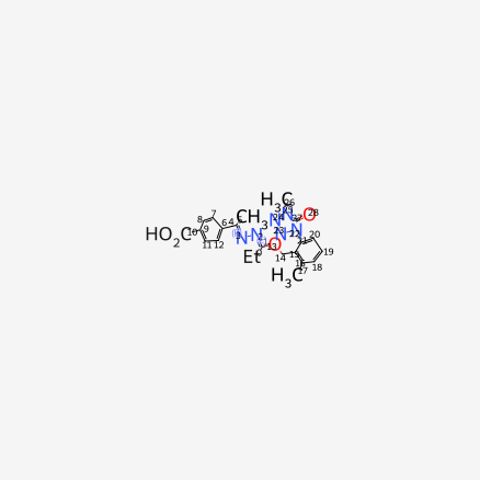 CC/C(=N\N=C(/C)c1ccc(C(=O)O)cc1)OCc1c(C)cccc1-n1nnn(C)c1=O